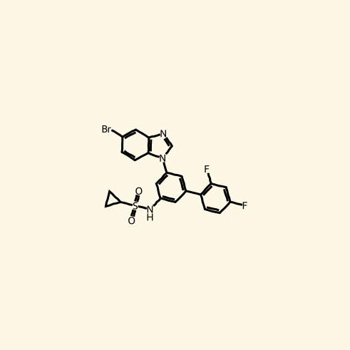 O=S(=O)(Nc1cc(-c2ccc(F)cc2F)cc(-n2cnc3cc(Br)ccc32)c1)C1CC1